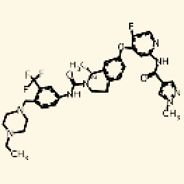 CCN1CCN(Cc2ccc(NC(=O)N3CCc4ccc(Oc5cc(NC(=O)c6cnn(C)c6)ncc5F)cc4[C@@H]3C)cc2C(F)(F)F)CC1